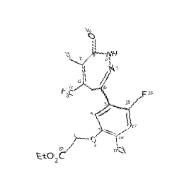 CCOC(=O)COc1cc(-c2n[nH]c(=O)c(C)c2C(F)(F)F)c(F)cc1Cl